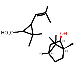 CC(C)=CC1C(C(=O)O)C1(C)C.CC1(C)[C@@H]2CC[C@@]1(C)[C@H](O)C2